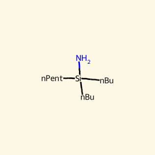 CCCCC[Si](N)(CCCC)CCCC